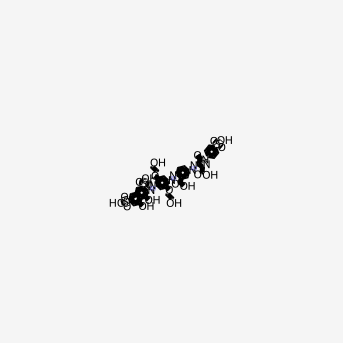 O=C(O)C1=NN(c2ccc(S(=O)(=O)O)cc2)C(=O)C1/N=N/c1ccc(/N=N/c2cc(OCCO)c(/N=N/c3c(S(=O)(=O)O)cc4cc(S(=O)(=O)O)cc(O)c4c3O)cc2OCCO)c(C(=O)O)c1